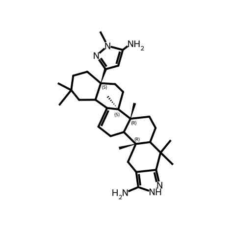 Cn1nc([C@]23CCC(C)(C)CC2C2=CCC4[C@@]5(C)Cc6c(n[nH]c6N)C(C)(C)C5CC[C@@]4(C)[C@]2(C)CC3)cc1N